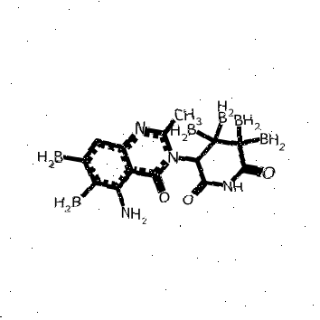 Bc1cc2nc(C)n(C3C(=O)NC(=O)C(B)(B)C3(B)B)c(=O)c2c(N)c1B